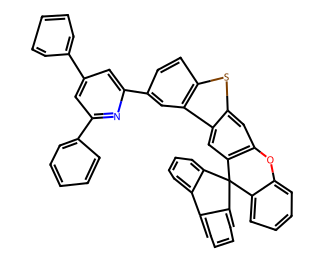 c1ccc(-c2cc(-c3ccccc3)nc(-c3ccc4sc5cc6c(cc5c4c3)C3(c4ccccc4O6)c4ccccc4-c4ccccc43)c2)cc1